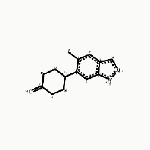 Cc1cc2cn[nH]c2cc1C1CCC(=O)CC1